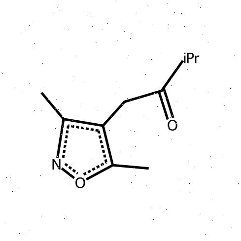 Cc1noc(C)c1CC(=O)C(C)C